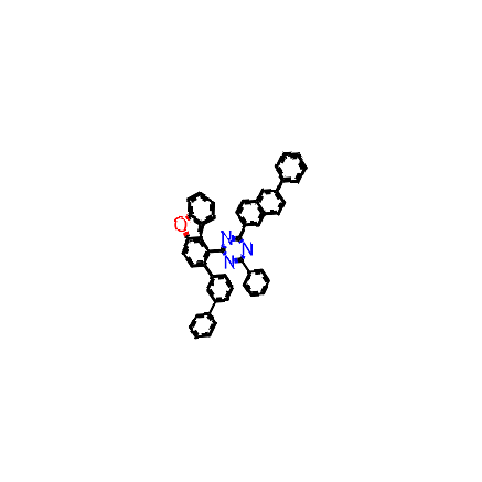 c1ccc(-c2cccc(-c3ccc4oc5ccccc5c4c3-c3nc(-c4ccccc4)nc(-c4ccc5cc(-c6ccccc6)ccc5c4)n3)c2)cc1